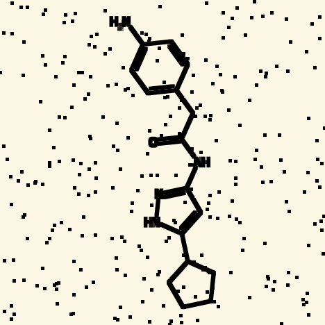 Nc1ccc(CC(=O)Nc2cc(C3CCCC3)[nH]n2)cc1